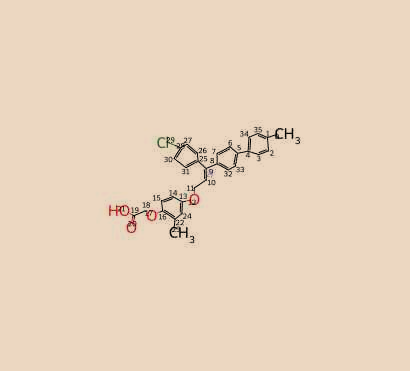 Cc1ccc(-c2ccc(/C(=C/COc3ccc(OCC(=O)O)c(C)c3)c3ccc(Cl)cc3)cc2)cc1